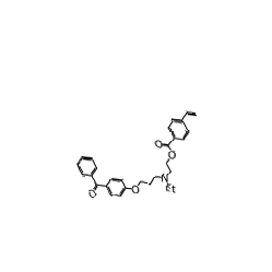 C=Cc1ccc(C(=O)OCCN(CC)CCCOc2ccc(C(=O)c3ccccc3)cc2)cc1